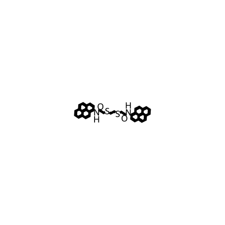 O=C(CSCCSCC(=O)Nc1ccc2ccc3cccc4ccc1c2c34)Nc1ccc2ccc3cccc4ccc1c2c34